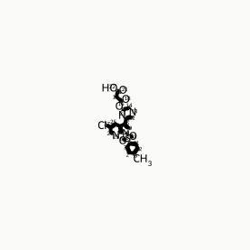 Cc1ccc(S(=O)(=O)n2cc(-c3cncc(OC(=O)CC(=O)O)n3)c3cc(Cl)cnc32)cc1